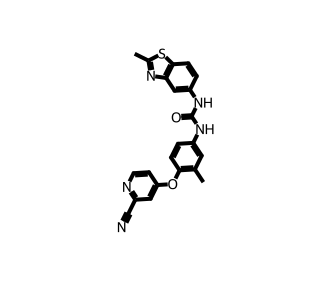 Cc1nc2cc(NC(=O)Nc3ccc(Oc4ccnc(C#N)c4)c(C)c3)ccc2s1